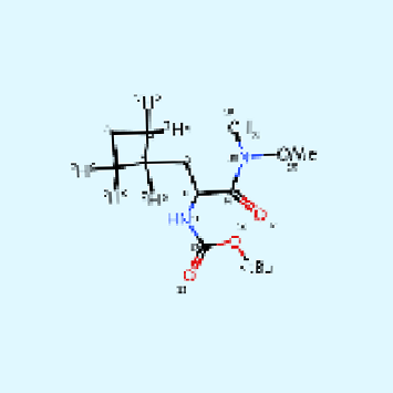 [2H]C1([2H])CC([2H])([2H])C1([2H])CC(NC(=O)OC(C)(C)C)C(=O)N(C)OC